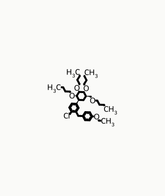 CCCCOC[C@H]1C[C@@H](c2ccc(Cl)c(Cc3ccc(OCC)cc3)c2)[C@H](OCCCC)[C@@H](OCCCC)[C@@H]1OCCCC